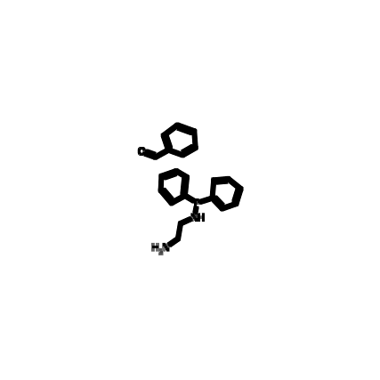 NCCNP(c1ccccc1)c1ccccc1.O=Cc1ccccc1